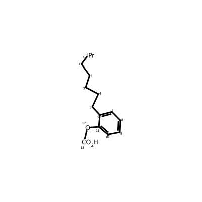 CC(C)CCCCCc1ccccc1OC(=O)O